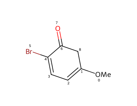 COC1=CC=C(Br)C(=O)C1